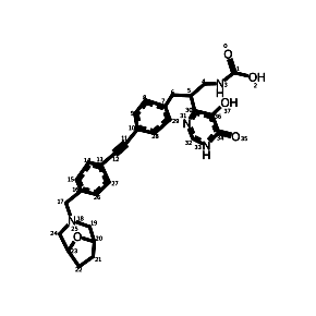 O=C(O)NCC(Cc1ccc(C#Cc2ccc(CN3CC4CCC(C3)O4)cc2)cc1)c1nc[nH]c(=O)c1O